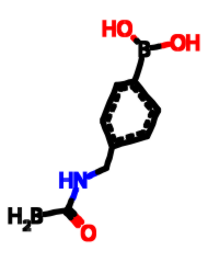 BC(=O)NCc1ccc(B(O)O)cc1